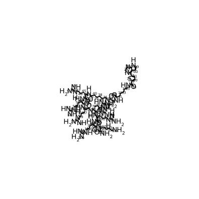 N=C(N)NCCC[C@@H](NC(=O)CCCCCNC(=O)c1ccc(-c2ncnc3[nH]ccc23)s1)C(=O)NCCCCCC(=O)N[C@H](CCCNC(=N)N)C(=O)N[C@H](CCCNC(=N)N)C(=O)N[C@H](CCCNC(=N)N)C(=O)N[C@H](CCCNC(=N)N)C(=O)N[C@H](CCCNC(=N)N)C(=O)N[C@H](CCCNC(=N)N)C(=O)N[C@H](CCCCN)C(N)=O